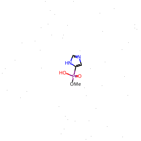 COP(=O)(O)c1cnc[nH]1